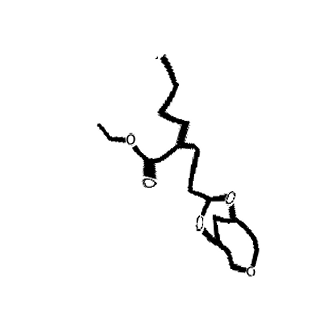 [CH2]CCCC(CC[C]1OC2COCC(C2)O1)C(=O)OCC